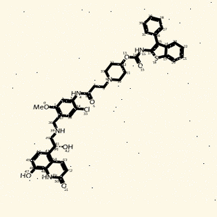 COc1cc(NC(=O)CCN2CCC(OC(=O)Nc3sc4ccccc4c3-c3ccccc3)CC2)c(Cl)cc1CNC[C@H](O)c1ccc(O)c2[nH]c(=O)ccc12